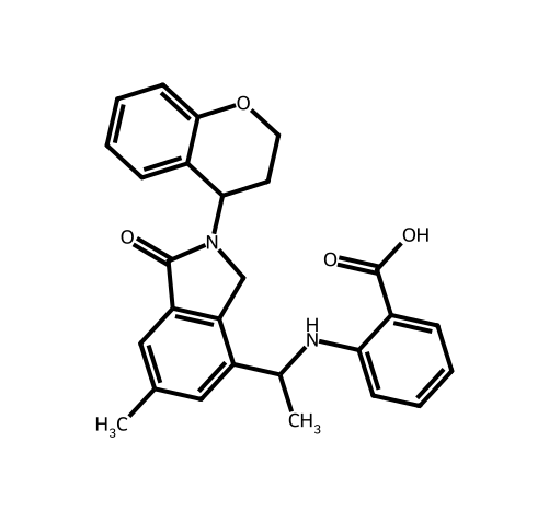 Cc1cc2c(c(C(C)Nc3ccccc3C(=O)O)c1)CN(C1CCOc3ccccc31)C2=O